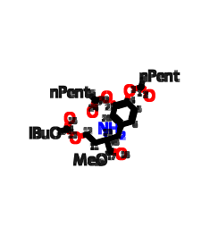 CCCCCC(=O)Oc1ccc(C[C@](N)(CCOC(=O)OCC(C)C)C(=O)OC)cc1OC(=O)CCCCC